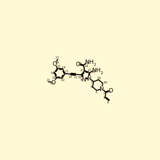 C=CC(=O)N1CCC(n2nc(C#Cc3cc(OC)cc(OC)c3)c(C(N)=O)c2N)CC1